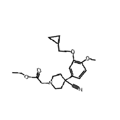 CCOC(=O)CN1CCC(C#N)(c2ccc(OC)c(OCC3CC3)c2)CC1